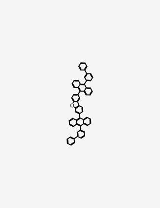 c1ccc(-c2cccc(-c3c4ccccc4c(-c4ccc5c(c4)oc4ccc(-c6c7ccccc7c(-c7cccc(-c8ccccc8)c7)c7ccccc67)cc45)c4ccccc34)c2)cc1